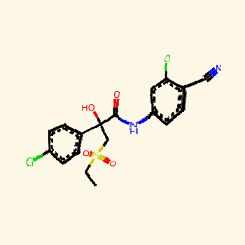 CCS(=O)(=O)CC(O)(C(=O)Nc1ccc(C#N)c(Cl)c1)c1ccc(Cl)cc1